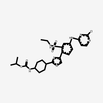 CCNS(=O)(=O)c1cc(Nc2ccnc(Cl)n2)ccc1-c1cnc(C2CCC(NC(=O)OC(C)C)CC2)s1